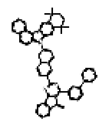 C=C1c2ccccc2-c2nc(C3=CC4=CC=C(n5c6cc7c(cc6c6c8ccccc8ccc65)C(C)(C)CCC7(C)C)CC4C=C3)nc(-c3cccc(-c4ccccc4)c3)c21